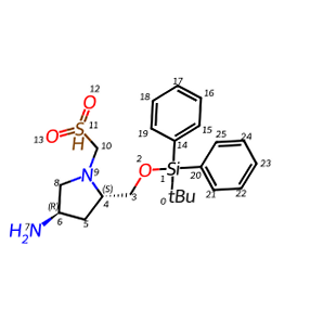 CC(C)(C)[Si](OC[C@@H]1C[C@@H](N)CN1C[SH](=O)=O)(c1ccccc1)c1ccccc1